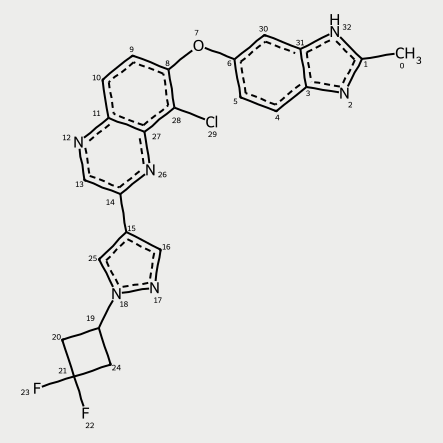 Cc1nc2ccc(Oc3ccc4ncc(-c5cnn(C6CC(F)(F)C6)c5)nc4c3Cl)cc2[nH]1